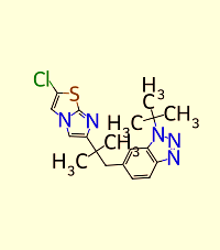 CC(C)(Cc1ccc2nnn(C(C)(C)C)c2c1)c1cn2cc(Cl)sc2n1